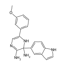 COc1cccc(C2=CN=C(N)C(N)(c3ccc4[nH]ccc4c3)N2)c1